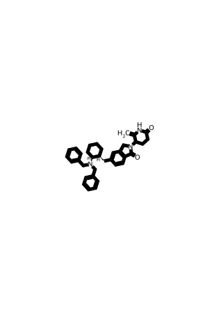 C=C1NC(=O)CCC1N1Cc2cc(C[C@H]3CCCC[C@H]3N(Cc3ccccc3)Cc3ccccc3)ccc2C1=O